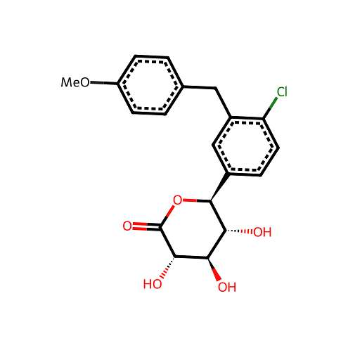 COc1ccc(Cc2cc([C@@H]3OC(=O)[C@@H](O)[C@H](O)[C@H]3O)ccc2Cl)cc1